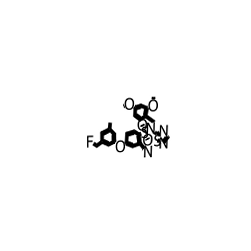 COc1ccc(CN(c2ncns2)S(=O)(=O)c2ccc(Oc3cc(C)cc(CF)c3)cc2C#N)c(OC)c1